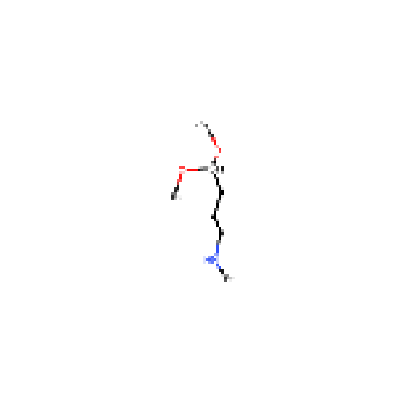 CCCO[SiH](CCCNCC)OCC